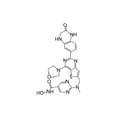 CN(Cc1cc2nc(-c3ccc4c(c3)NCC(=O)N4)nc(N3CCOCC3)c2s1)c1ncc(C(=O)NO)cn1